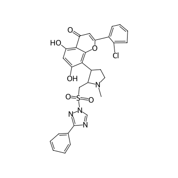 CN1CCC(c2c(O)cc(O)c3c(=O)cc(-c4ccccc4Cl)oc23)C1CS(=O)(=O)n1cnc(-c2ccccc2)n1